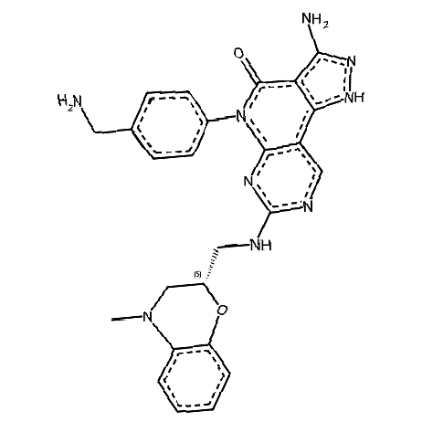 CN1C[C@H](CNc2ncc3c4[nH]nc(N)c4c(=O)n(-c4ccc(CN)cc4)c3n2)Oc2ccccc21